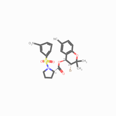 CC1(C)Oc2ccc(C#N)cc2[C@H](OC(=O)[C@@H]2CCCN2S(=O)(=O)c2cccc([N+](=O)[O-])c2)[C@H]1Br